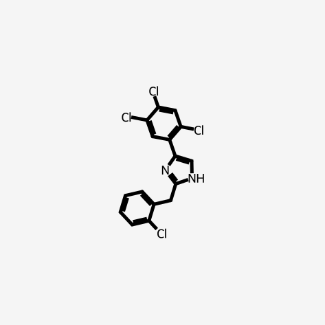 Clc1cc(Cl)c(-c2c[nH]c(Cc3ccccc3Cl)n2)cc1Cl